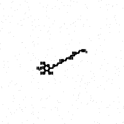 C[C@H]1C(O)OC(COCCCNCCNCCNCCN)C(O)C1O